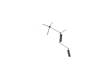 C=C/C=C(\C(F)(F)F)C(F)(F)C(F)(F)F